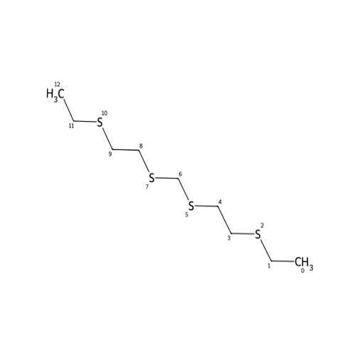 CCSCCSCSCCSCC